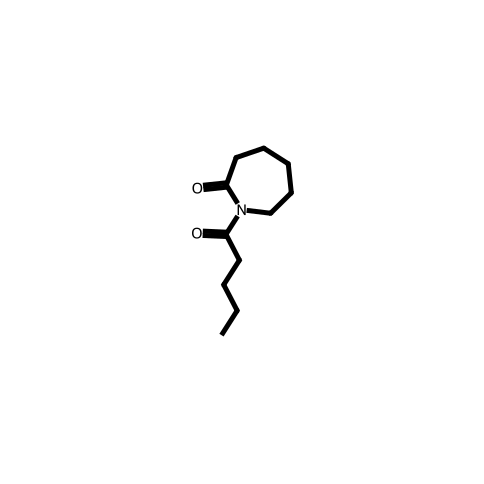 CCCCC(=O)N1CCCCCC1=O